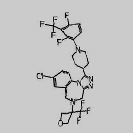 Fc1ccc(N2CCC(c3nnc4n3-c3ccc(Cl)cc3CN(C3(C(F)(F)F)COC3)C4)CC2)c(F)c1C(F)(F)F